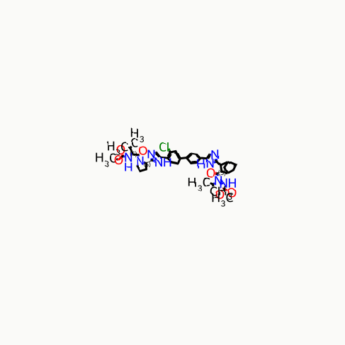 COC(=O)N[C@H](C(=O)N1CCC[C@H]1c1ncc(-c2ccc(-c3ccc(-c4cnc(C5C6CCC(C6)[C@@H]5C(=O)N(NC(=O)OC)C(C)C)[nH]4)cc3)cc2Cl)[nH]1)C(C)C